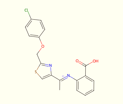 C/C(=N\c1ccccc1C(=O)O)c1csc(COc2ccc(Cl)cc2)n1